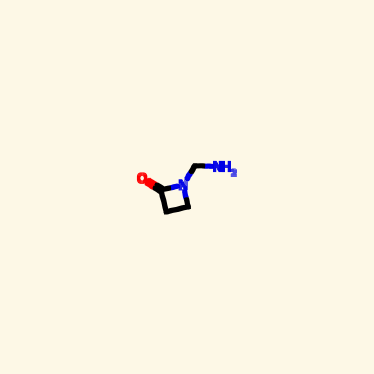 NCN1CCC1=O